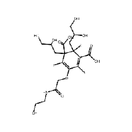 O=C(COC1=C(I)C(CC(O)CO)(C(=O)O)C(I)(CC(O)CO)C(C(=O)O)=C1I)NCCO